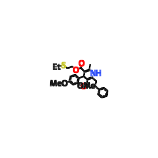 CCSCCOC(=O)C1=C(C)NC2=C(C(=O)CC(c3ccccc3)C2)C1c1ccc(OC)cc1OC